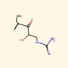 CCCCC(C)C(=O)C(O)CNC(=N)N